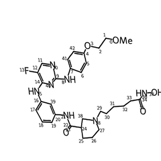 COCCOc1ccc(Nc2ncc(F)c(Nc3cccc(NC(=O)C4CCCN(CCCCCC(=O)NO)C4)c3)n2)cc1